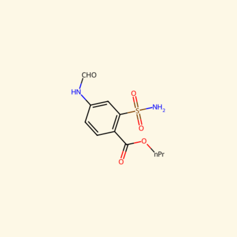 CCCOC(=O)c1ccc(NC=O)cc1S(N)(=O)=O